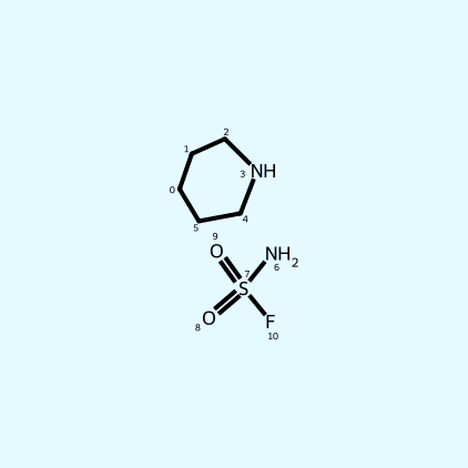 C1CCNCC1.NS(=O)(=O)F